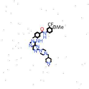 COc1ccc(NC(=O)c2ccc(C)c(Nc3ncnc4cnc(N5CCN(CC6CCN(C)CC6)CC5)nc34)c2)cc1C(F)(F)F